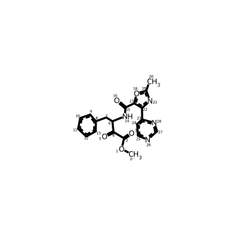 COC(=O)C(=O)C(Cc1ccccc1)NC(=O)c1oc(C)nc1-c1ccncn1